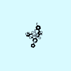 CC(NC(=O)[C@H]1CN(C2CCCC2)CC[C@@H]1NC(=O)c1cc(-c2ccc(F)cc2F)on1)c1ccon1